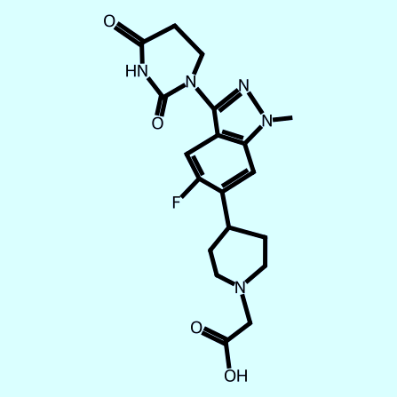 Cn1nc(N2CCC(=O)NC2=O)c2cc(F)c(C3CCN(CC(=O)O)CC3)cc21